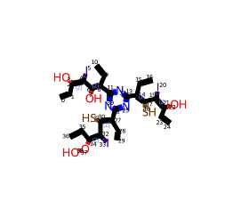 C=C/C(O)=C(I)\C(O)=C(/C=C)c1nc(/C(C=C)=C(S)/C(I)=C(/O)C=C)nc(/C(C=C)=C(S)/C(I)=C(\C=C)OO)n1